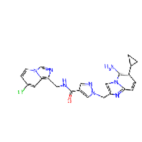 Nc1c(C2CC2)ccc2nc(Cn3cc(C(=O)NCc4ncn5ccc(Cl)cc45)cn3)cn12